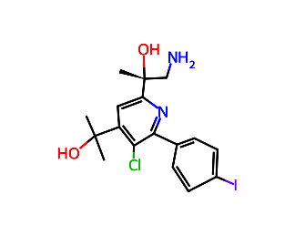 CC(C)(O)c1cc([C@](C)(O)CN)nc(-c2ccc(I)cc2)c1Cl